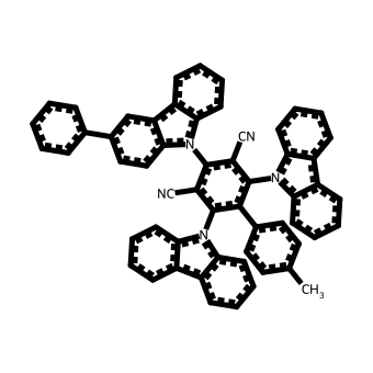 Cc1ccc(-c2c(-n3c4ccccc4c4ccccc43)c(C#N)c(-n3c4ccccc4c4cc(-c5ccccc5)ccc43)c(C#N)c2-n2c3ccccc3c3ccccc32)cc1